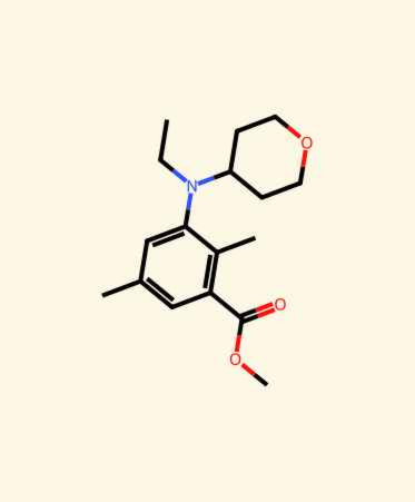 CCN(c1cc(C)cc(C(=O)OC)c1C)C1CCOCC1